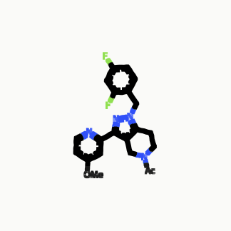 COc1ccnc(-c2nn(Cc3ccc(F)cc3F)c3c2CN(C(C)=O)CC3)c1